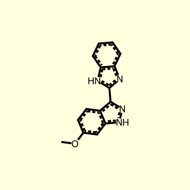 COc1ccc2c(-c3nc4ccccc4[nH]3)n[nH]c2c1